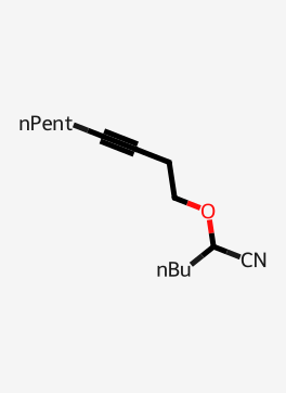 CCCCCC#CCCOC(C#N)CCCC